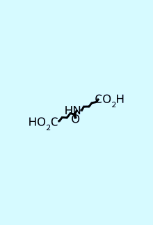 O=C(O)CCCCCNC(=O)CCCCC(=O)O